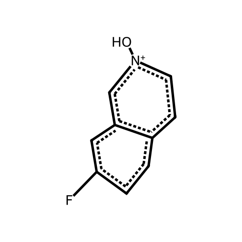 O[n+]1ccc2ccc(F)cc2c1